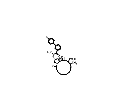 C[C@H]1/C=C\CCCCCCC(=O)N2C[C@H](CN(C)C(=O)c3cccc(-c4ccc(F)cc4)c3)C[C@H]2C(=O)NC1C(=O)O